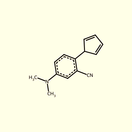 CN(C)c1ccc(C2C=CC=C2)c(C#N)c1